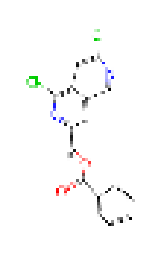 C[C@@H](OC(=O)c1ccccc1)c1cc2cnc(Cl)cc2c(Cl)n1